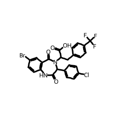 O=C(O)C(Cc1ccc(C(F)(F)F)cc1)N1C(=O)c2cc(Br)ccc2NC(=O)C1c1ccc(Cl)cc1